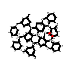 Cc1cc(C)cc(N2c3cc4c(cc3B3c5c2cc(N(c2ccccc2)c2ccccc2)cc5N(c2cc(C)cc(C)c2)c2cc5c6c(c23)Oc2ccccc2B6c2ccccc2O5)B2c3ccccc3Oc3cccc(c32)O4)c1